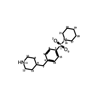 O=S(=O)(c1ccc(CC2CCNCC2)cc1)N1CCCCC1